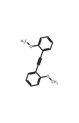 COc1ccccc1C#Cc1ccccc1OC